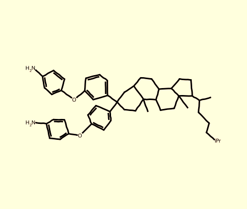 CC(C)CCCC(C)C1CCC2C3CCC4CC(c5ccc(Oc6ccc(N)cc6)cc5)(c5cccc(Oc6ccc(N)cc6)c5)CCC4(C)C3CCC12C